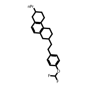 CCCC1CCc2c(ccc3c2CCC(CCc2ccc(OC(F)F)cc2)C3)C1